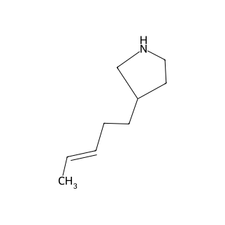 CC=CCCC1CCNC1